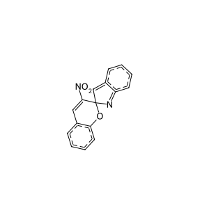 O=[N+]([O-])C1=Cc2ccccc2OC12C=c1ccccc1=N2